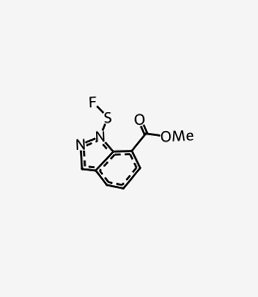 COC(=O)c1cccc2cnn(SF)c12